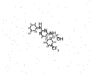 Cc1cccc(Nc2nccc(NC(CO)c3cccc(C(F)(F)F)c3)n2)c1